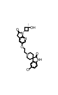 C[C@]1(O)C[C@H](N2C(=O)Cc3cc(OCCN4CCC5(CC4)C(=O)Nc4ccc(Cl)cc45)cnc32)C1